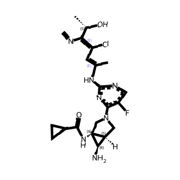 C=N/C(=C(Cl)\C=C(/C)Nc1ncc(F)c(N2C[C@H]3[C@@H](N)[C@@]3(NC(=O)C3CC3)C2)n1)[C@H](C)O